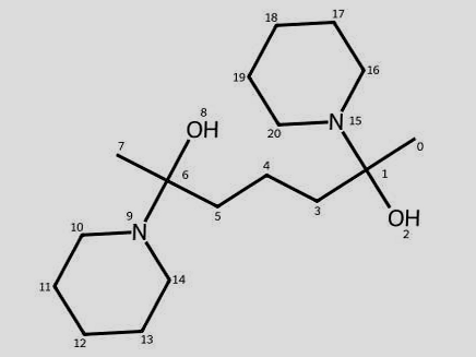 CC(O)(CCCC(C)(O)N1CCCCC1)N1CCCCC1